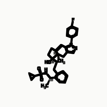 C[C@H](NS(=O)(=O)C1CC1)c1ccccc1CC[C@]1(O)CCC2=Cc3c(cnn3-c3ccc(F)cc3)C[C@@]21C